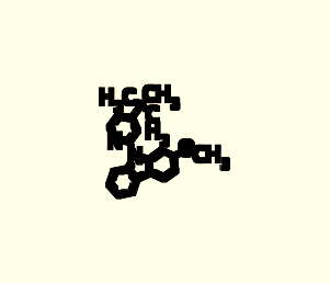 COC1=C=C=c2c(n(-c3cc(C(C)(C)C)ccn3)c3ccccc23)=C1